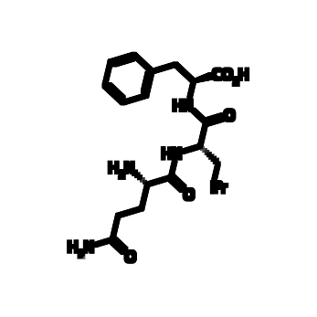 CC(C)C[C@H](NC(=O)[C@@H](N)CCC(N)=O)C(=O)N[C@@H](Cc1ccccc1)C(=O)O